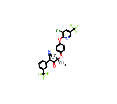 CC(C)(Oc1ccc(Oc2ncc(C(F)(F)F)cc2Cl)cc1)C(=O)C(C#N)c1cccc(C(F)(F)F)c1